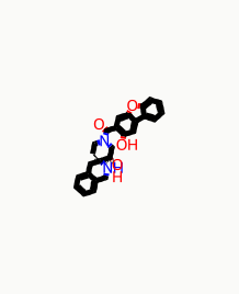 O=C(c1cc2oc3ccccc3c2cc1O)N1CC[C@]2(Cc3ccccc3CN2)[C@H](O)C1